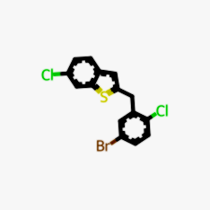 Clc1ccc2cc(Cc3cc(Br)ccc3Cl)sc2c1